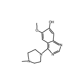 COc1cc2c(N3CCN(C)CC3)ncnc2cc1O